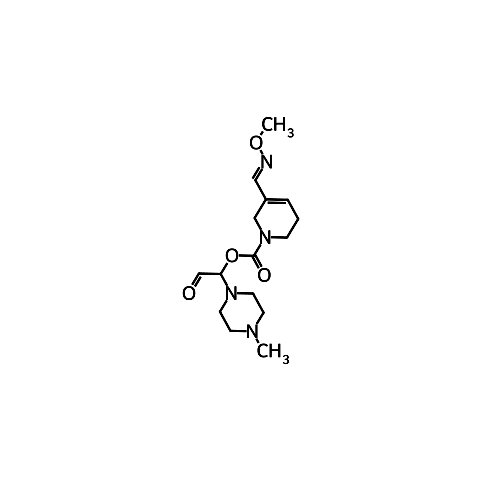 CON=CC1=CCCN(C(=O)OC(C=O)N2CCN(C)CC2)C1